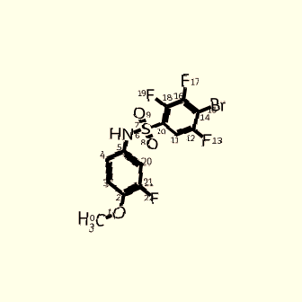 COc1ccc(NS(=O)(=O)c2cc(F)c(Br)c(F)c2F)cc1F